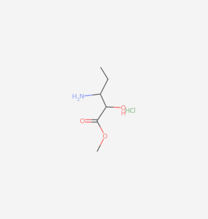 CCC(N)C(O)C(=O)OC.Cl